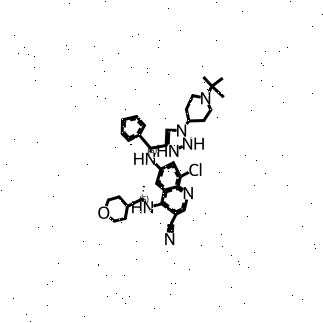 C[C@H](Nc1c(C#N)cnc2c(Cl)cc(N[C@H](C3=CN(C4CCN(C(C)(C)C)CC4)NN3)c3ccccc3)cc12)C1CCOCC1